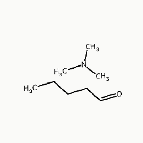 CCCCC=O.CN(C)C